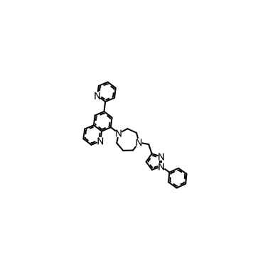 c1ccc(-n2ccc(CN3CCCN(c4cc(-c5ccccn5)cc5cccnc45)CC3)n2)cc1